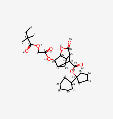 CCC(C)(C)C(=O)OCC(=O)OC1C2CC3C1OC(=O)C3C2C(=O)OC1(C2CCCCC2)CCCC1